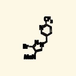 CNc1cn(Cc2ccc(C(F)(F)F)nc2)nc1Br